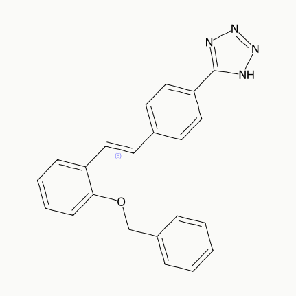 C(=C\c1ccccc1OCc1ccccc1)/c1ccc(-c2nnn[nH]2)cc1